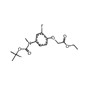 CCOC(=O)COc1ccc(N(C)C(=O)OC(C)(C)C)cc1F